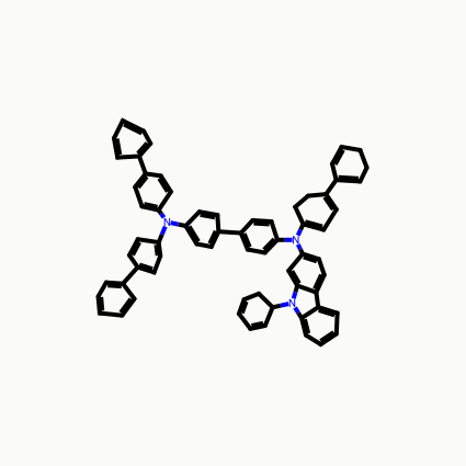 C1=CCC(n2c3ccccc3c3ccc(N(C4=CC=C(C5=CCCC=C5)CC4)c4ccc(-c5ccc(N(c6ccc(-c7ccccc7)cc6)c6ccc(-c7ccccc7)cc6)cc5)cc4)cc32)C=C1